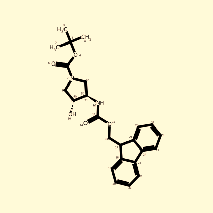 CC(C)(C)OC(=O)N1C[C@@H](O)[C@H](NC(=O)OCC2c3ccccc3-c3ccccc32)C1